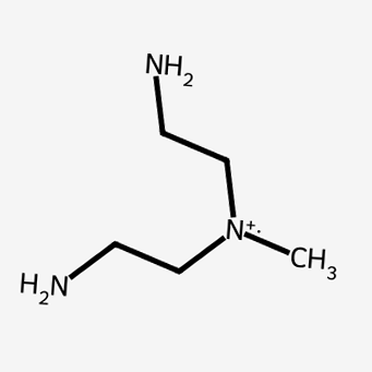 C[N+](CCN)CCN